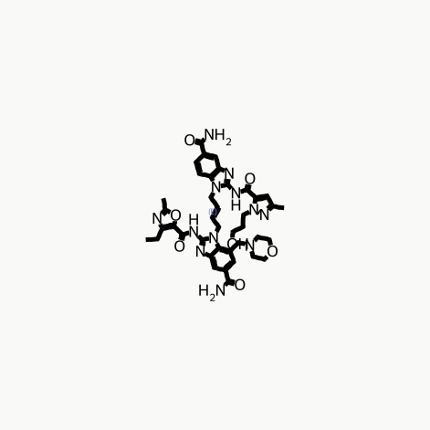 CCc1nc(C)oc1C(=O)Nc1nc2cc(C(N)=O)cc(CN3CCOCC3)c2n1C/C=C/Cn1c(NC(=O)c2cc(C)nn2CCCO)nc2cc(C(N)=O)ccc21